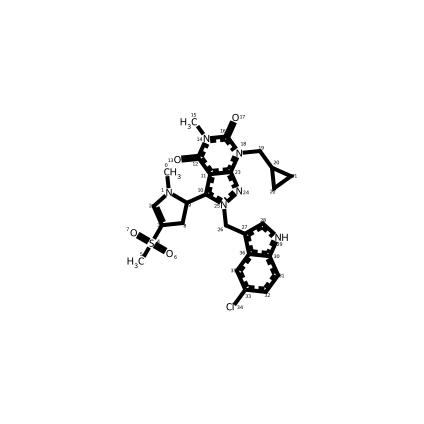 CN1C=C(S(C)(=O)=O)CC1c1c2c(=O)n(C)c(=O)n(CC3CC3)c2nn1Cc1c[nH]c2ccc(Cl)cc12